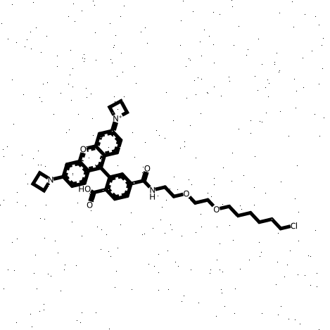 O=C(NCCOCCOCCCCCCCl)c1ccc(C(=O)O)c(-c2c3ccc(=[N+]4CCC4)cc-3oc3cc(N4CCC4)ccc23)c1